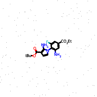 CCOC(=O)c1cc(N)c(-n2ccc(C(=O)OC(C)(C)C)c2N)c(F)c1